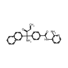 C=CC(=O)C(N)(c1ccc(C(=O)Nc2cccnc2N)cc1)c1ccc2ccccc2c1